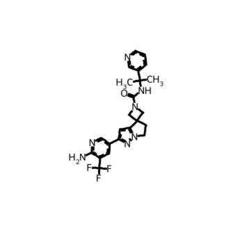 CC(C)(NC(=O)N1CC2(CCn3nc(-c4cnc(N)c(C(F)(F)F)c4)cc32)C1)c1cccnc1